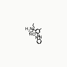 CCCC(N)(CCC)c1cc(C)cc(-n2nc3ccccc3n2)c1O